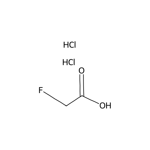 Cl.Cl.O=C(O)CF